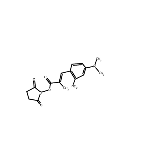 CC(=Cc1ccc(N(C)C)cc1[N+](=O)[O-])C(=O)ON1C(=O)CCC1=O